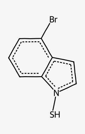 Sn1ccc2c(Br)cccc21